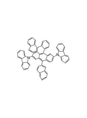 c1ccc(-c2c3ccc(-n4c5ccccc5c5ccccc54)cc3c(-c3ccc4ccccc4c3)c3ccc(-n4c5ccccc5c5ccccc54)cc23)c(-c2cccc3ccccc23)c1